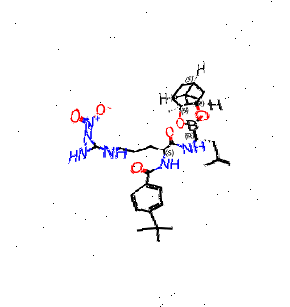 CC(C)C[C@H](NC(=O)[C@H](CCCNC1NN1[N+](=O)[O-])NC(=O)c1ccc(C(C)(C)C)cc1)B1O[C@@H]2C[C@@H]3C[C@@H](C3(C)C)[C@]2(C)O1